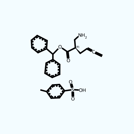 C=C=CC[C@H](CN)C(=O)OC(c1ccccc1)c1ccccc1.Cc1ccc(S(=O)(=O)O)cc1